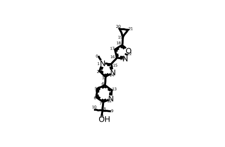 Cn1cc(-c2ccc(C(C)(C)O)nc2)nc1-c1cc(C2CC2)on1